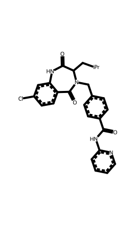 CC(C)CC1C(=O)Nc2cc(Cl)ccc2C(=O)N1Cc1ccc(C(=O)Nc2ccccn2)cc1